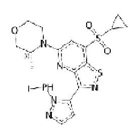 C[C@@H]1COCCN1c1cc(S(=O)(=O)C2CC2)c2snc(-c3ccnn3PI)c2n1